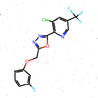 Fc1cccc(OCc2nnc(-c3ncc(C(F)(F)F)cc3Cl)o2)c1